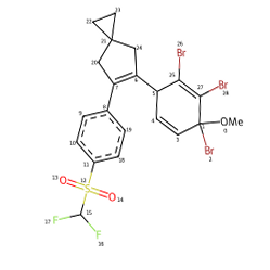 COC1(Br)C=CC(C2=C(c3ccc(S(=O)(=O)C(F)F)cc3)CC3(CC3)C2)C(Br)=C1Br